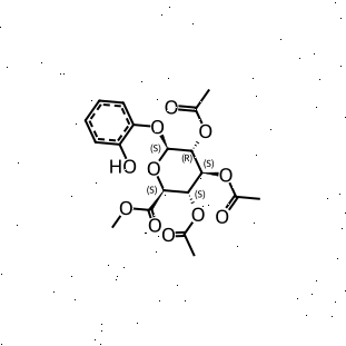 COC(=O)[C@H]1O[C@@H](Oc2ccccc2O)[C@H](OC(C)=O)[C@@H](OC(C)=O)[C@@H]1OC(C)=O